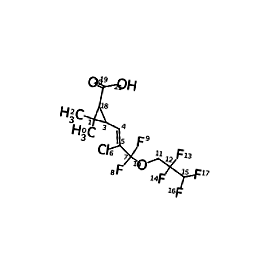 CC1(C)C(C=C(Cl)C(F)(F)OCC(F)(F)C(F)F)C1C(=O)O